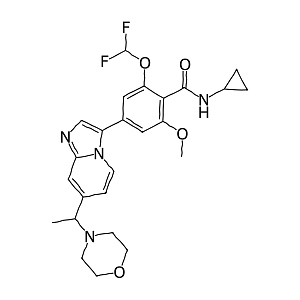 COc1cc(-c2cnc3cc(C(C)N4CCOCC4)ccn23)cc(OC(F)F)c1C(=O)NC1CC1